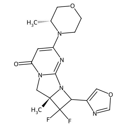 C[C@@H]1COCCN1c1cc(=O)n2c(n1)N1C(c3cocn3)C(F)(F)[C@]1(C)C2